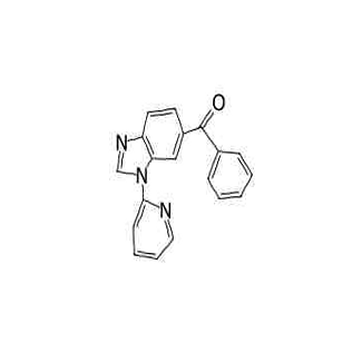 O=C(c1ccccc1)c1ccc2ncn(-c3ccccn3)c2c1